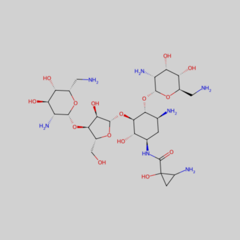 NC[C@@H]1O[C@H](O[C@H]2[C@@H](O)[C@H](O[C@@H]3[C@@H](O)[C@H](NC(=O)C4(O)CC4N)C[C@H](N)[C@H]3O[C@H]3O[C@H](CN)[C@@H](O)[C@@H](O)[C@H]3N)O[C@@H]2CO)[C@H](N)[C@@H](O)[C@@H]1O